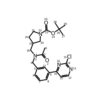 CC(=O)N(Cc1cccc(-c2ccnc(Cl)n2)c1)CC1CCN(C(=O)OC(C)(C)C)C1